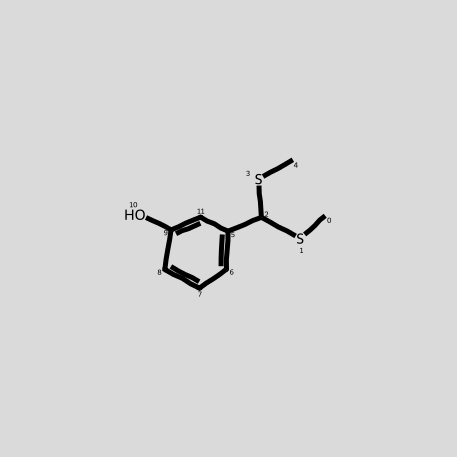 CSC(SC)c1cccc(O)c1